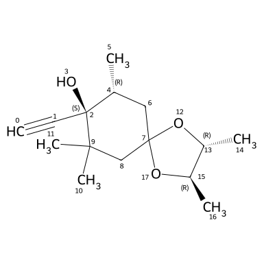 C#C[C@]1(O)[C@H](C)CC2(CC1(C)C)O[C@H](C)[C@@H](C)O2